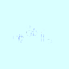 O=C(NCc1cccs1)c1nc2c(C(F)(F)F)cc(-c3cn[nH]n3)cn2c1Cl